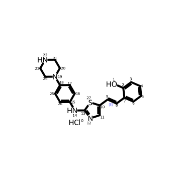 Cl.Oc1ccccc1/C=C/c1cnc(Nc2ccc(N3CCNCC3)cc2)s1